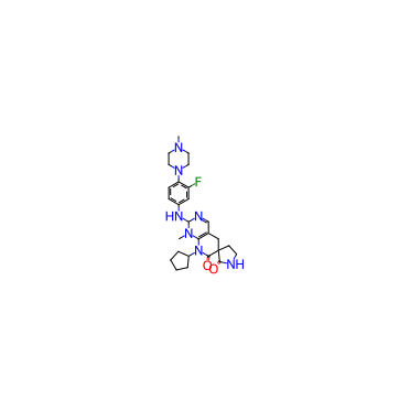 CN1CCN(c2ccc(NC3N=CC4=C(N3C)N(C3CCCC3)C(=O)C3(CCNC3=O)C4)cc2F)CC1